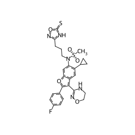 CS(=O)(=O)N(CCCc1noc(=S)[nH]1)c1cc2oc(-c3ccc(F)cc3)c(C3=NOCCN3)c2cc1C1CC1